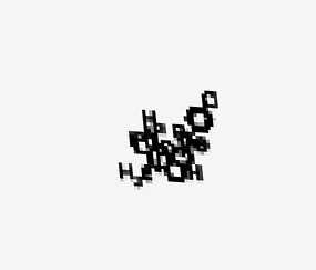 CC(C)C[C@@H](C(N)=O)N(C)[C@@H]1CC[C@H]2CN(S(=O)(=O)c3ccc(Cl)cc3)C[C@H]21